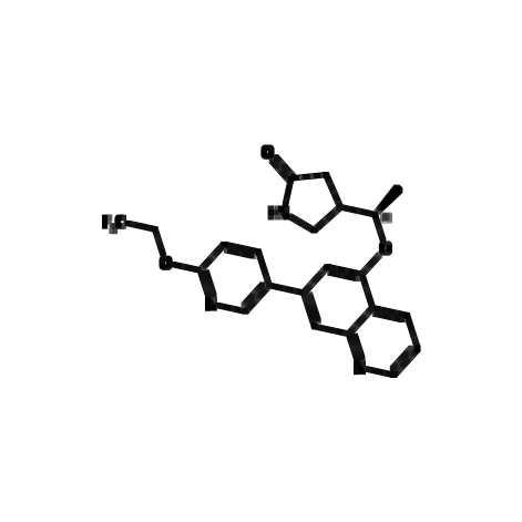 C[C@@H](Oc1cc(-c2ccc(OCC(F)(F)F)nc2)cc2ncccc12)C1CNC(=O)C1